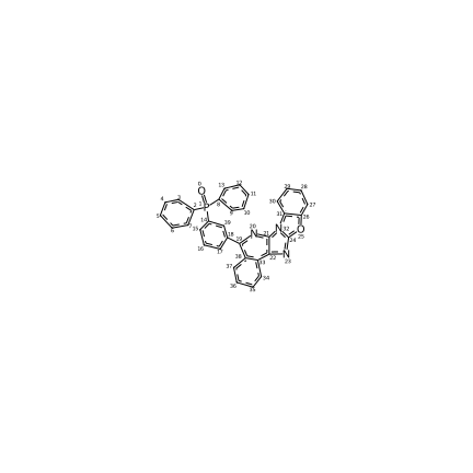 O=P(c1ccccc1)(c1ccccc1)c1cccc(-c2nc3c(nc4oc5ccccc5n43)c3ccccc23)c1